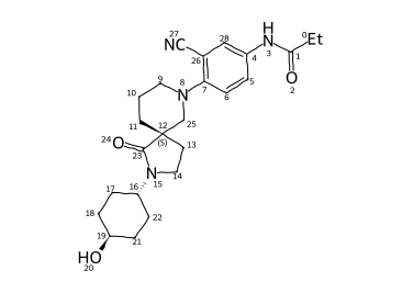 CCC(=O)Nc1ccc(N2CCC[C@]3(CCN([C@H]4CC[C@H](O)CC4)C3=O)C2)c(C#N)c1